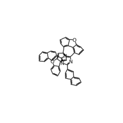 c1ccc2cc(-c3nc(-c4ccc5ccccc5c4)nc(-c4cccc5oc6cccc(-c7ccc8c(c7)oc7ccccc78)c6c45)n3)ccc2c1